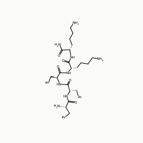 CC(C)C[C@H](NC(=O)[C@H](CC(C)C)NC(=O)[C@@H](N)CC(C)C)C(=O)N[C@@H](CCCCN)C(=O)N[C@@H](CCCCN)C(N)=O